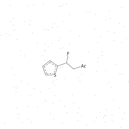 CC(=O)CC(F)c1cccs1